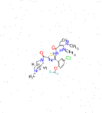 C=CC(C(=O)Nc1sc(C(=O)N2C[C@H]3CN(C)C[C@H]3C2)nc1-c1cc(Cl)ccc1OC(F)F)=C(NC)NC